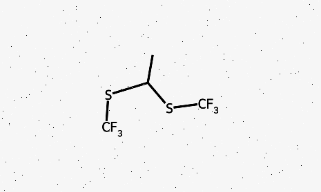 CC(SC(F)(F)F)SC(F)(F)F